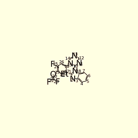 CCc1nc2ccccc2n1C1N=CN=CN1c1ccc(OC(F)F)c(F)c1